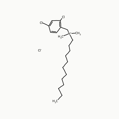 CCCCCCCCCCCC[N+](C)(C)Cc1ccc(Cl)cc1Cl.[Cl-]